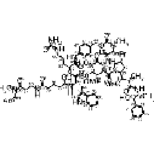 CC[C@H](C)[C@@H]([C@@H](CC(=O)N1CCC[C@H]1[C@H](OC)[C@@H](C)C(=O)N[C@H](C)[C@@H](O)c1ccccc1)OC)N(C)C(=O)[C@@H](NC(=O)[C@H](C(C)C)N(C)C(=O)OCc1ccc(NC(=O)[C@H](CCCNC(N)=O)NC(=O)[C@H](Cc2c[nH]c3ccccc23)NC(=O)CCCC(=O)NCCC(=O)N(C)CC(C)=O)cc1)C(C)C